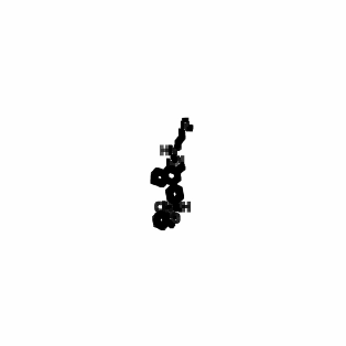 Cc1cccc(Cl)c1S(=O)(=O)Nc1ccc(C2Cc3cnc(NCCCCN(C)C)nc3-c3ccccc32)cc1